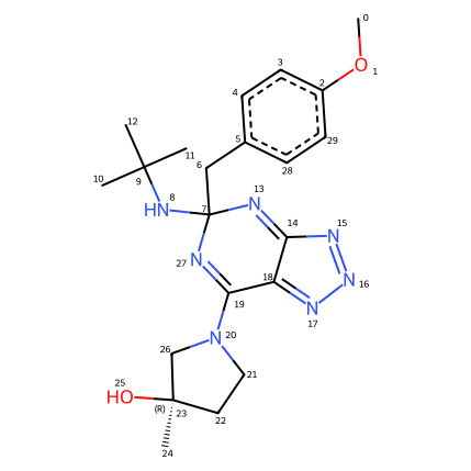 COc1ccc(CC2(NC(C)(C)C)N=C3N=NN=C3C(N3CC[C@@](C)(O)C3)=N2)cc1